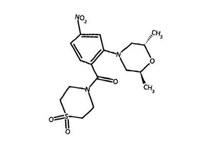 C[C@H]1CN(c2cc([N+](=O)[O-])ccc2C(=O)N2CCS(=O)(=O)CC2)C[C@H](C)O1